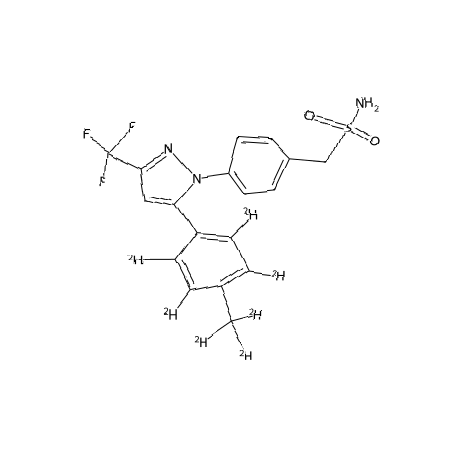 [2H]c1c([2H])c(C([2H])([2H])[2H])c([2H])c([2H])c1-c1cc(C(F)(F)F)nn1-c1ccc(CS(N)(=O)=O)cc1